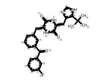 CC(C)(C)c1[nH]cnc1/C=c1\[nH]c(=O)/c(=C/c2cccc(C(=O)c3cccc(F)c3)c2)[nH]c1=O